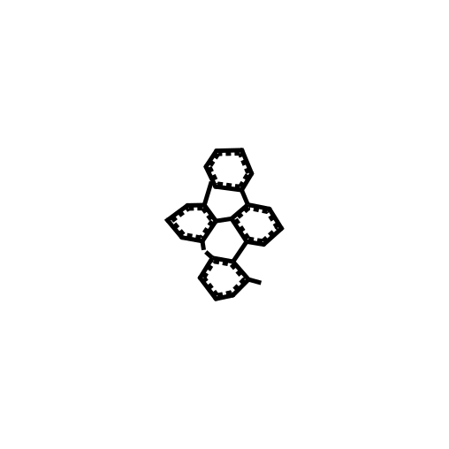 Cc1cccc(C)c1-c1cccc(-c2ccccc2)c1-c1c(C)cccc1C